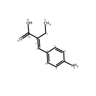 CC/C(=C\c1ccc(N)cc1)C(=O)O